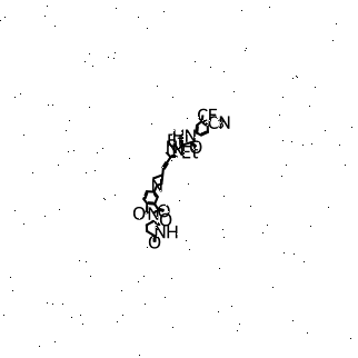 CCC(CC)(C(=O)Nc1ccc(C#N)c(C(F)(F)F)c1)n1cc(C#CC2CN(c3ccc4c(c3)C(=O)N(C3CCC(=O)NC3=O)C4=O)C2)cn1